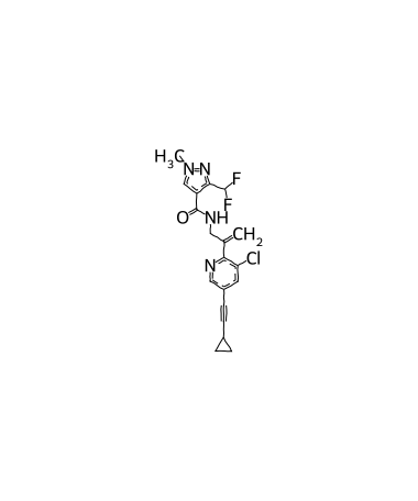 C=C(CNC(=O)c1cn(C)nc1C(F)F)c1ncc(C#CC2CC2)cc1Cl